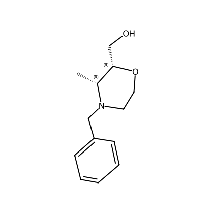 C[C@@H]1[C@H](CO)OCCN1Cc1ccccc1